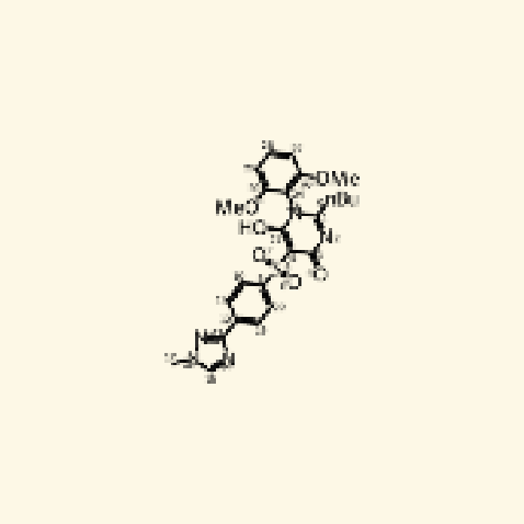 CCCCc1nc(=O)c(S(=O)(=O)c2ccc(-c3ncn(C)n3)cc2)c(O)n1-c1c(OC)cccc1OC